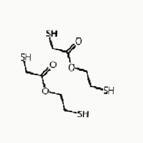 O=C(CS)OCCS.O=C(CS)OCCS